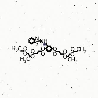 C=CC(=O)OCC(C)OC(=O)CCC(=O)Oc1ccc(OC(=O)CCC(=O)OC(C)COC(=O)C=C)c(/C=N/Nc2nc3ccccc3s2)c1